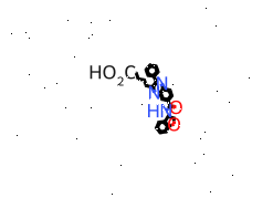 O=C(O)CCCCc1nc2cc(C(=O)N[C@@H]3COc4ccccc43)ccc2nc1-c1ccccc1